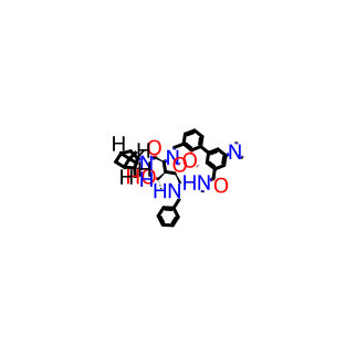 CNC(=O)c1cc(-c2cccc(CN3O[C@@H](CNCc4ccccc4)[C@@H]([C@H](C)O)[C@H]3C(=O)N[C@H]3C[C@H]4C[C@@H]([C@@H]3C)C4(C)C)c2OC)cc(N(C)C)c1